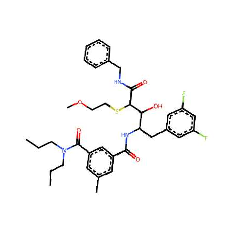 CCCN(CCC)C(=O)c1cc(C)cc(C(=O)NC(Cc2cc(F)cc(F)c2)C(O)C(SCCOC)C(=O)NCc2ccccc2)c1